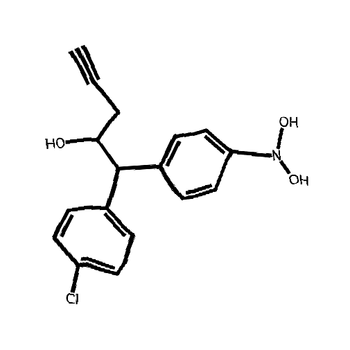 C#CCC(O)C(c1ccc(Cl)cc1)c1ccc(N(O)O)cc1